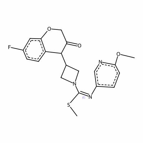 COc1ccc(/N=C(/SC)N2CC(C3C(=O)COc4cc(F)ccc43)C2)cn1